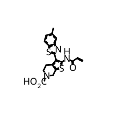 C=CC(=O)Nc1sc2c(c1-c1nc3cc(C)ccc3s1)CCN(C(=O)O)C2